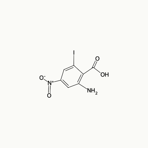 Nc1cc([N+](=O)[O-])cc(I)c1C(=O)O